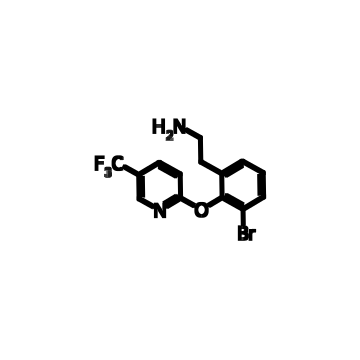 NCCc1cccc(Br)c1Oc1ccc(C(F)(F)F)cn1